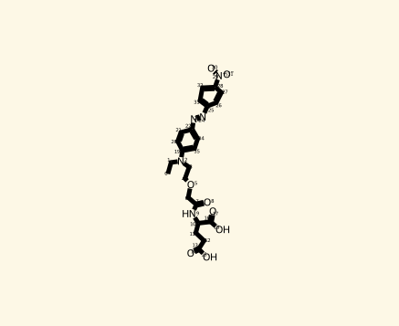 CCN(CCOCC(=O)NC(CCC(=O)O)C(=O)O)c1ccc(/N=N/c2ccc([N+](=O)[O-])cc2)cc1